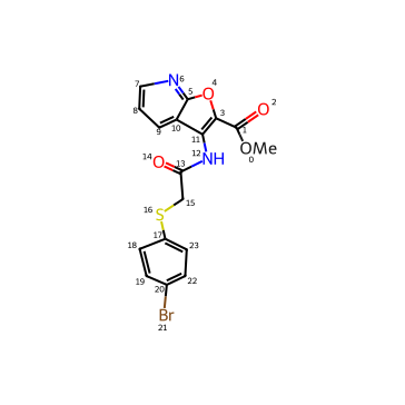 COC(=O)c1oc2ncccc2c1NC(=O)CSc1ccc(Br)cc1